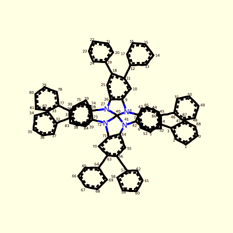 c1ccc(-c2ccc(N3c4cc(-c5ccccc5)c(-c5ccccc5)cc4N(c4ccc(-c5ccccc5)cc4)C34N(c3ccc(-c5ccccc5)cc3)c3cc(-c5ccccc5)c(-c5ccccc5)cc3N4c3ccc(-c4ccccc4)cc3)cc2)cc1